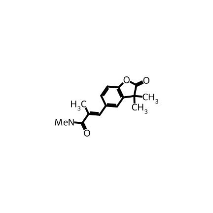 CNC(=O)/C(C)=C/c1ccc2c(c1)C(C)(C)C(=O)O2